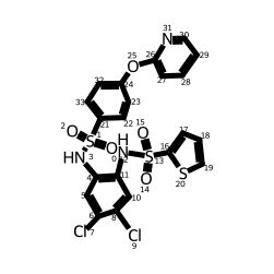 O=S(=O)(Nc1cc(Cl)c(Cl)cc1NS(=O)(=O)c1cccs1)c1ccc(Oc2ccccn2)cc1